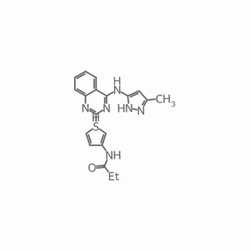 CCC(=O)NC1=C[SH](c2nc(Nc3cc(C)n[nH]3)c3ccccc3n2)C=C1